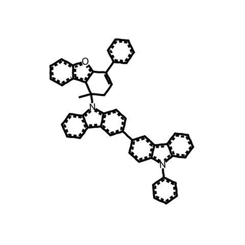 CC1(n2c3ccccc3c3cc(-c4ccc5c(c4)c4ccccc4n5-c4ccccc4)ccc32)CC=C(c2ccccc2)c2oc3ccccc3c21